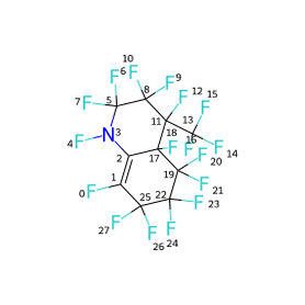 FC1=C2N(F)C(F)(F)C(F)(F)C(F)(C(F)(F)F)C2(F)C(F)(F)C(F)(F)C1(F)F